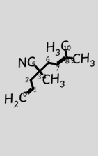 C=CCC(C)(C#N)CC=C(C)C